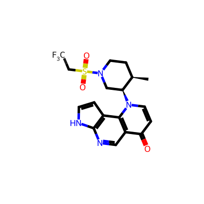 C[C@@H]1CCN(S(=O)(=O)CC(F)(F)F)C[C@@H]1n1ccc(=O)c2cnc3[nH]ccc3c21